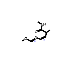 CNC(=O)C(C)/C=C\N=C\OC